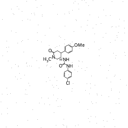 COc1ccc(C2CC(=O)N(C)C[C@H]2NC(=O)Nc2ccc(Cl)cc2)cc1